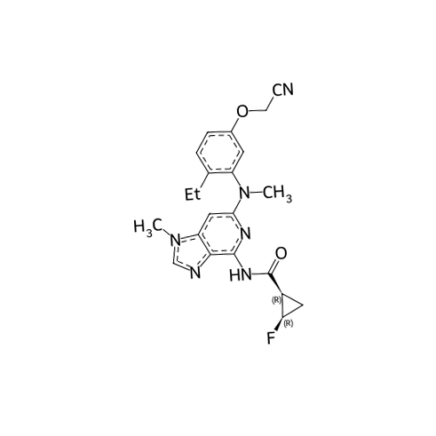 CCc1ccc(OCC#N)cc1N(C)c1cc2c(ncn2C)c(NC(=O)[C@H]2C[C@H]2F)n1